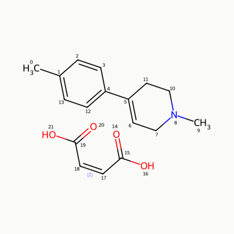 Cc1ccc(C2=CCN(C)CC2)cc1.O=C(O)/C=C\C(=O)O